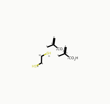 C=C(C)C(=O)O.C=C(C)C(=O)O.SCCS